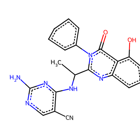 CC(Nc1nc(N)ncc1C#N)c1nc2cccc(O)c2c(=O)n1-c1ccccc1